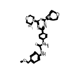 COCc1ccc(NC(=O)Nc2ccc(-c3nc(N4C5CCC4COC5)nc(N4CCOC[C@H]4C)n3)cc2)cc1